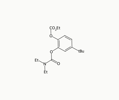 CCOC(=O)Oc1ccc(C(C)(C)C)cc1OC(=O)N(CC)CC